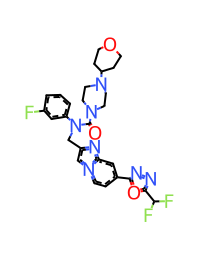 O=C(N1CCN(C2CCOCC2)CC1)N(Cc1cn2ccc(-c3nnc(C(F)F)o3)cc2n1)c1cccc(F)c1